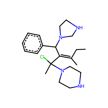 CCC(C)=C(C(c1ccccc1)N1CCNC1)C(C)(Cl)N1CCNCC1